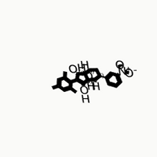 Cc1cc(C)c(C2=C(O)[C@@H]3[C@@H]4O[C@@H](C[C@H]4c4cccc([N+](=O)[O-])c4)[C@@H]3C2=O)c(C)c1